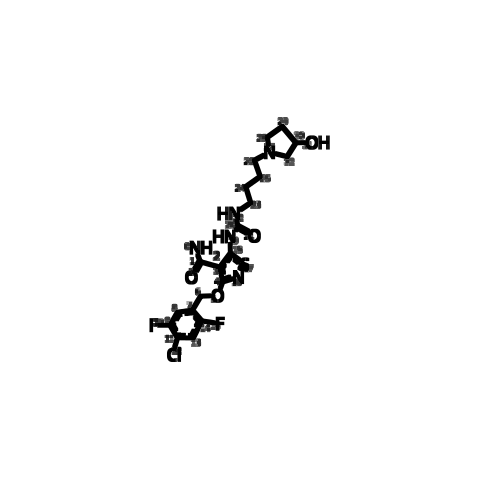 NC(=O)c1c(OCc2cc(F)c(Cl)cc2F)nsc1NC(=O)NCCCCN1CCC(O)C1